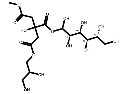 COC(=O)CC(O)(CC(=O)OCC(O)CO)C(=O)OC(O)[C@H](O)[C@@H](O)[C@H](O)[C@H](O)CO